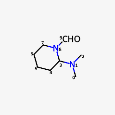 CN(C)C1CCCCN1C=O